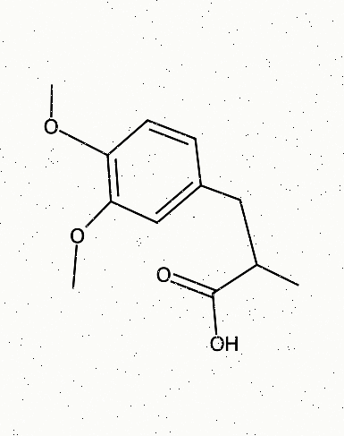 COc1ccc(CC(C)C(=O)O)cc1OC